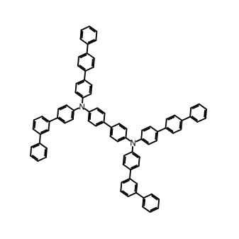 c1ccc(-c2ccc(-c3ccc(N(c4ccc(-c5ccc(N(c6ccc(-c7ccc(-c8ccccc8)cc7)cc6)c6ccc(-c7cccc(-c8ccccc8)c7)cc6)cc5)cc4)c4ccc(-c5cccc(-c6ccccc6)c5)cc4)cc3)cc2)cc1